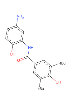 CC(C)(C)c1cc(C(=O)Nc2cc(N)ccc2O)cc(C(C)(C)C)c1O